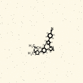 CN(C)CC1(C)CCN(c2ccc3c(c2)Cn2cc(-c4ccc(C#N)cc4)cc2-c2nncn2-3)C1